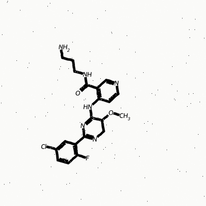 COC1CN=C(c2cc(Cl)ccc2F)N=C1Nc1ccncc1C(=O)NCCCN